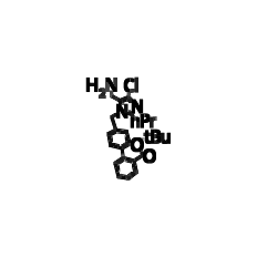 CCCc1nc(Cl)c(CN)n1Cc1ccc(-c2ccccc2C(=O)OC(C)(C)C)cc1